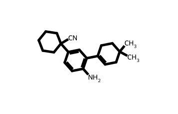 CC1(C)CC=C(c2cc(C3(C#N)CCCCC3)ccc2N)CC1